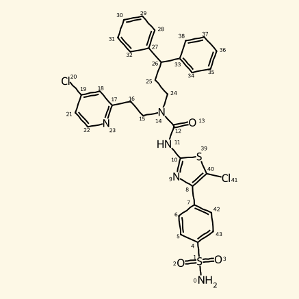 NS(=O)(=O)c1ccc(-c2nc(NC(=O)N(CCc3cc(Cl)ccn3)CCC(c3ccccc3)c3ccccc3)sc2Cl)cc1